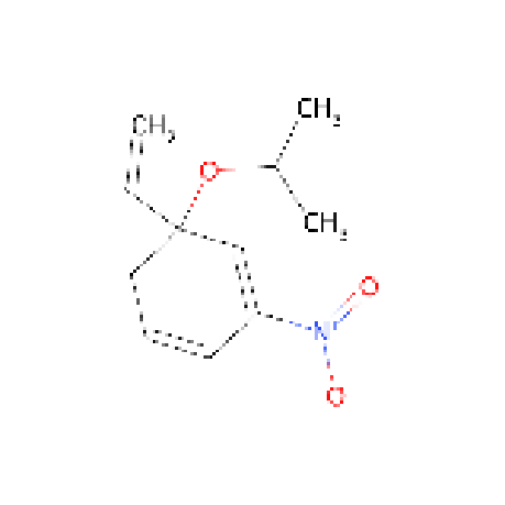 C=CC1(OC(C)C)C=C([N+](=O)[O-])C=CC1